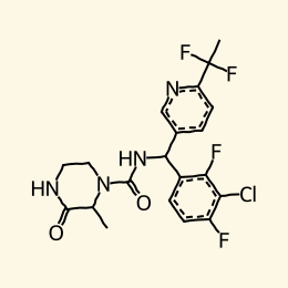 CC1C(=O)NCCN1C(=O)NC(c1ccc(C(C)(F)F)nc1)c1ccc(F)c(Cl)c1F